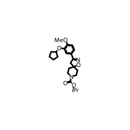 COc1ccc(C2=NOC3(CCN(C(=O)OC(C)C)CC3)C2)cc1OC1CCCC1